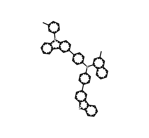 Cc1cccc(-n2c3ccccc3c3cc(-c4ccc(N(c5ccc(-c6ccc7sc8ccccc8c7c6)cc5)c5cc(C)cc6ccccc56)cc4)ccc32)c1